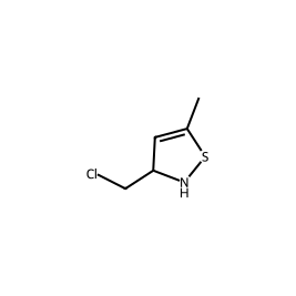 CC1=CC(CCl)NS1